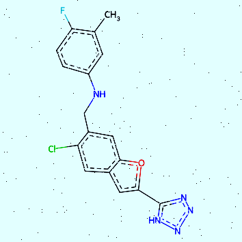 Cc1cc(NCc2cc3oc(-c4nnn[nH]4)cc3cc2Cl)ccc1F